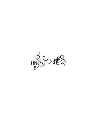 C[C@@H](Nc1nc(Nc2ccc(/S(C)=N/S(=O)(=O)c3cnccc3Cl)cc2)ncc1Br)C(C)(C)O